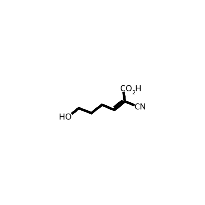 N#CC(=CCCCO)C(=O)O